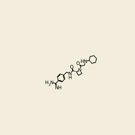 N=C(N)c1ccc(CNC(=O)[C@@H]2CCN2C(=O)CNC2CCCCC2)cc1